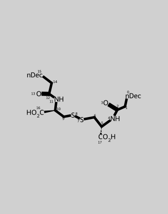 CCCCCCCCCCCC(=O)N[C@@H](CSSC[C@H](NC(=O)CCCCCCCCCCC)C(=O)O)C(=O)O